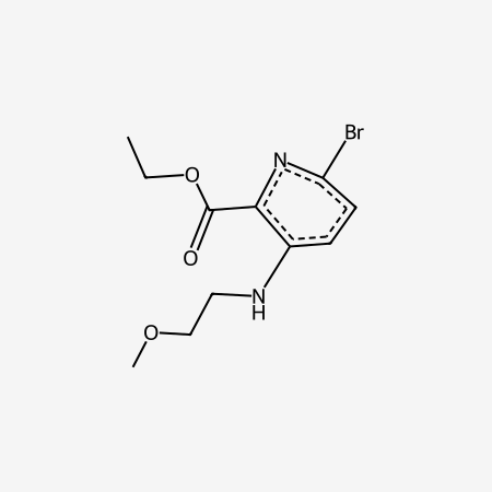 CCOC(=O)c1nc(Br)ccc1NCCOC